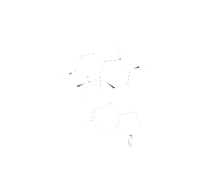 C[C@H]1CC[C@H]2C(C)(C)[C@@H](O)CC[C@]23Oc2c(c(O)cc4c2CNC4=O)C[C@]13C